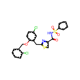 O=C(NS(=O)(=O)c1ccccc1)c1csc(Cc2cc(Cl)ccc2OCc2ccccc2Cl)n1